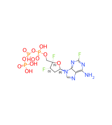 Nc1nc(F)nc2c1ncn2[C@H]1C[C@H](F)[C@@](F)(COP(=O)(O)OP(=O)(O)OP(=O)(O)O)O1